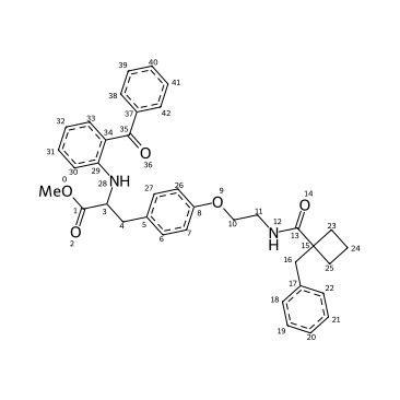 COC(=O)C(Cc1ccc(OCCNC(=O)C2(Cc3ccccc3)CCC2)cc1)Nc1ccccc1C(=O)c1ccccc1